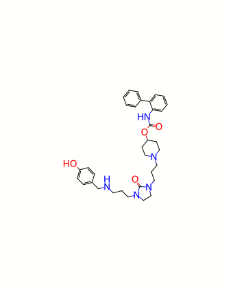 O=C(Nc1ccccc1-c1ccccc1)OC1CCN(CCCN2CCN(CCCNCc3ccc(O)cc3)C2=O)CC1